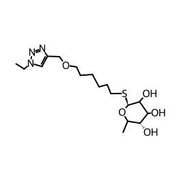 CCn1cc(COCCCCCCS[C@@H]2OC(C)[C@@H](O)C(O)C2O)nn1